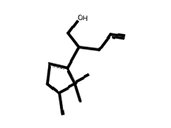 C=CCC(CO)C1CCC(C)C1(C)C